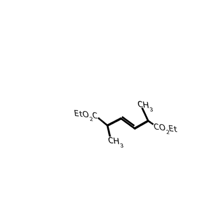 CCOC(=O)C(C)C=CC(C)C(=O)OCC